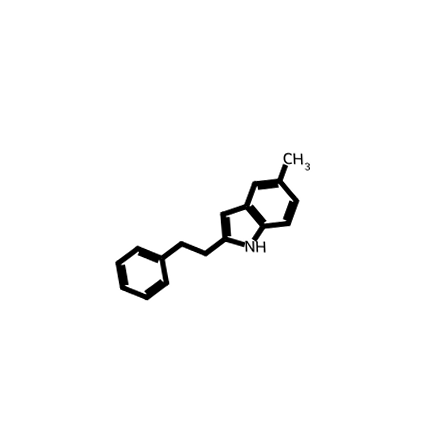 Cc1ccc2[nH]c(CCc3ccccc3)cc2c1